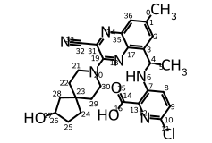 Cc1cc([C@@H](C)Nc2ccc(Cl)nc2C(=O)O)c2nc(N3CCC4(CCC(O)C4)CC3)c(C#N)nc2c1